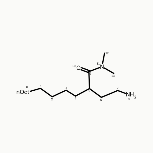 CCCCCCCCCCCCC(CCN)C(=O)N(C)C